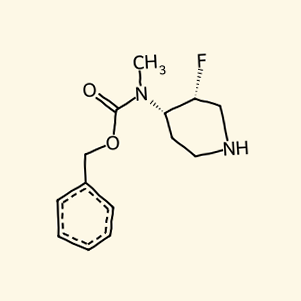 CN(C(=O)OCc1ccccc1)[C@H]1CCNC[C@H]1F